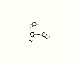 O=C(O)C(F)(F)F.O=S(=O)(Nc1ccc(F)c(C#Cc2cnc3[nH]ncc3c2)c1F)c1cc(Cl)ccc1Cl